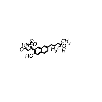 CC(C)(O)CCCc1ccc2cc(O)c(N3CC(=O)NS3(=O)=O)cc2c1